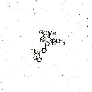 CCC1COc2ccccc2CN1Cc1cccc(-c2cccc(-n3ncc(C(=O)OC)c3[C@@H]3C[C@H]3c3cn(C)nn3)c2)c1